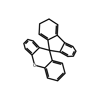 C1=C2C(=CCC1)C1(c3ccccc3Oc3ccccc31)c1ccccc12